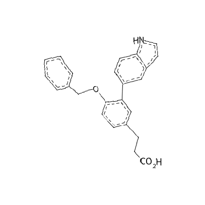 O=C(O)CCc1ccc(OCc2ccccc2)c(-c2ccc3[nH]ccc3c2)c1